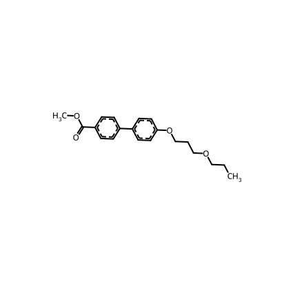 CCCOCCCOc1ccc(-c2ccc(C(=O)OC)cc2)cc1